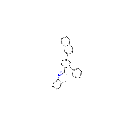 Cc1ccccc1/N=C1\Cc2ccccc2-c2cc(-c3ccc4ccccc4c3)ccc21